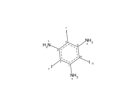 Nc1c(I)c(N)c(I)c(N)c1I